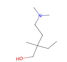 CCC(C)(CO)CCN(C)C